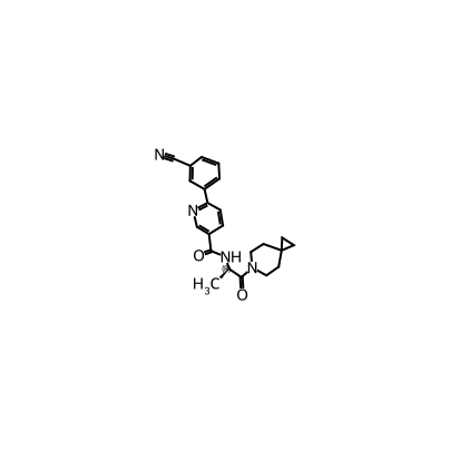 C[C@@H](NC(=O)c1ccc(-c2cccc(C#N)c2)nc1)C(=O)N1CCC2(CC1)CC2